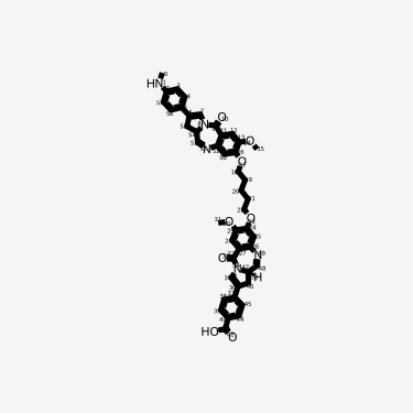 CNc1ccc(C2=CN3C(=O)c4cc(OC)c(OCCCCCOc5cc6c(cc5OC)C(=O)N5C=C(c7ccc(C(=O)O)cc7)C[C@H]5C=N6)cc4N=CC3C2)cc1